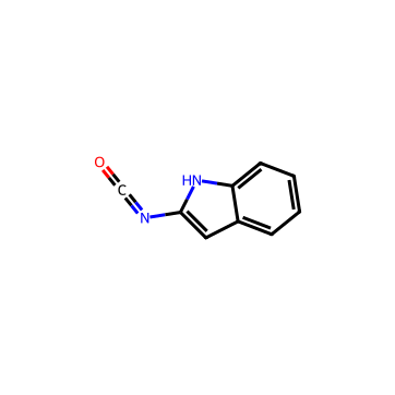 O=C=Nc1cc2ccccc2[nH]1